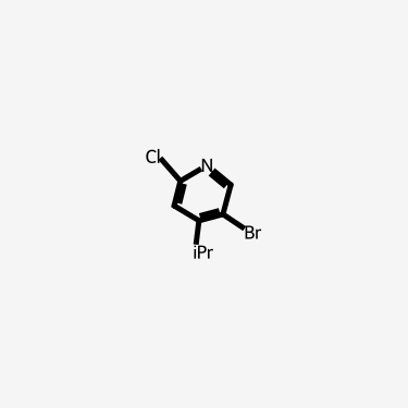 CC(C)c1cc(Cl)ncc1Br